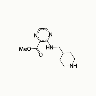 COC(=O)c1nccnc1NCC1CCNCC1